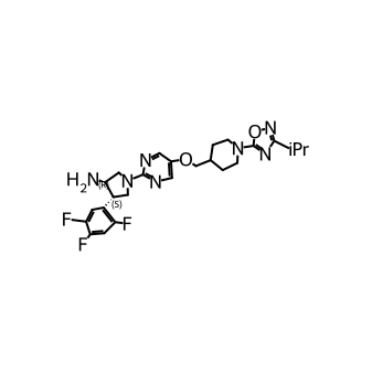 CC(C)c1noc(N2CCC(COc3cnc(N4C[C@H](c5cc(F)c(F)cc5F)[C@@H](N)C4)nc3)CC2)n1